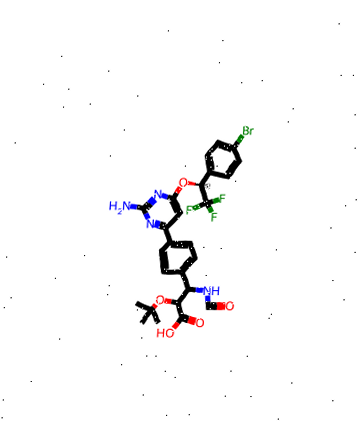 CC(C)(C)OC(C(=O)O)C(NC=O)c1ccc(-c2cc(O[C@@H](c3ccc(Br)cc3)C(F)(F)F)nc(N)n2)cc1